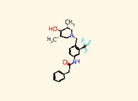 C[C@@H]1CN(Cc2ccc(NC(=O)Cc3ccccc3)cc2C(F)(F)F)C[C@H](C)C1O